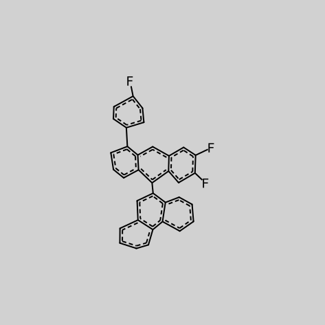 Fc1ccc(-c2cccc3c(-c4cc5ccccc5c5ccccc45)c4cc(F)c(F)cc4cc23)cc1